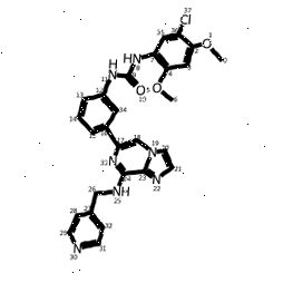 COc1cc(OC)c(NC(=O)Nc2cccc(-c3cn4ccnc4c(NCc4ccncc4)n3)c2)cc1Cl